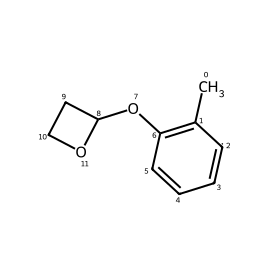 Cc1[c]cccc1OC1CCO1